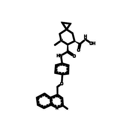 Cc1cc(COc2ccc(NC(=O)[C@@H]3[C@@H](C(=O)NO)CC4(CC4)CN3C)cc2)c2ccccc2n1